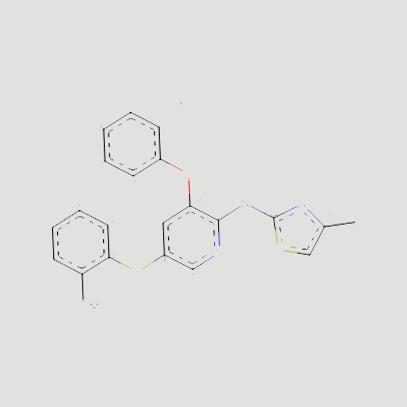 COc1ccccc1Sc1cnc(Nc2nc(C)cs2)c(Oc2ccccc2)c1.Cl